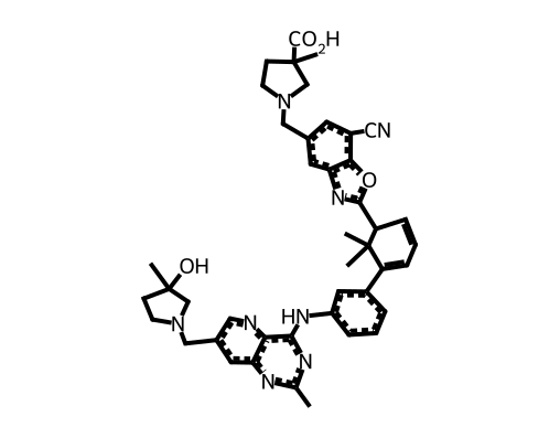 Cc1nc(Nc2cccc(C3=CC=CC(c4nc5cc(CN6CCC(C)(C(=O)O)C6)cc(C#N)c5o4)C3(C)C)c2)c2ncc(CN3CCC(C)(O)C3)cc2n1